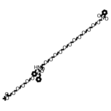 CC(C)(C)OC(=O)CCOCCOCCOCCOCCOc1ccc(C[C@H](NC(=O)CCOCCOCCOCCOCCOCCOCCOCCOCCOCCOCCOCCOCCN2C(=O)c3ccccc3C2=O)C(=O)OCc2ccccc2)cc1